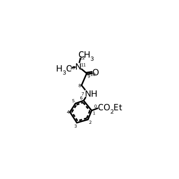 CCOC(=O)c1ccccc1NCC(=O)N(C)C